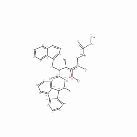 CCOC(OCC)[C@H](C)N(Cc1cccc2ccccc12)C(=O)[C@H](CCCCNC(=O)OC(C)(C)C)N(C)C1c2ccccc2-c2ccccc21